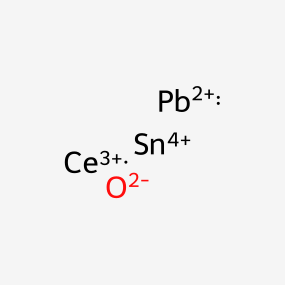 [Ce+3].[O-2].[Pb+2].[Sn+4]